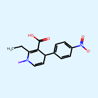 CCC1=C(C(=O)O)C(c2ccc([N+](=O)[O-])cc2)C=CN1I